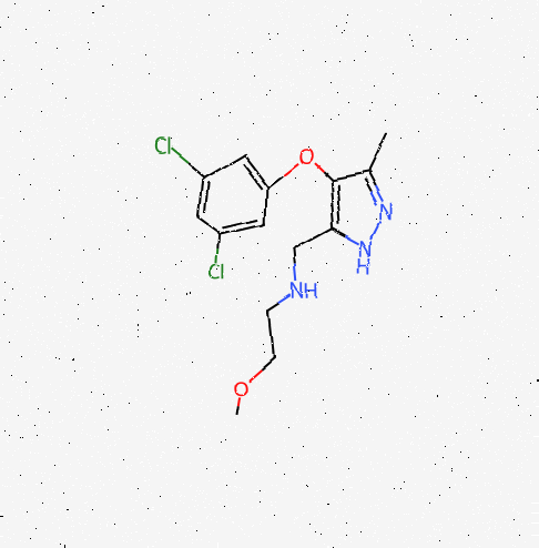 COCCNCc1[nH]nc(C)c1Oc1cc(Cl)cc(Cl)c1